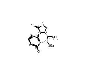 CC(OC(C)(C)C)[C@H]1COC(=O)N1c1ccnc(Cl)n1